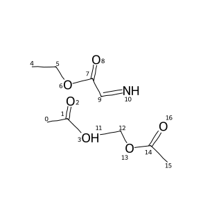 CC(=O)O.CCOC(=O)C=N.CCOC(C)=O